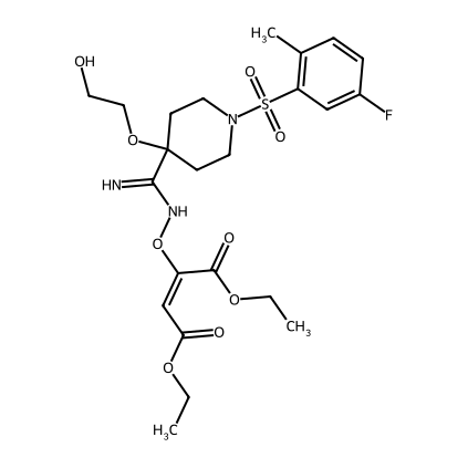 CCOC(=O)C=C(ONC(=N)C1(OCCO)CCN(S(=O)(=O)c2cc(F)ccc2C)CC1)C(=O)OCC